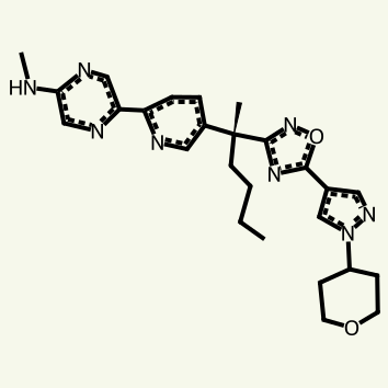 CCCC[C@](C)(c1ccc(-c2cnc(NC)cn2)nc1)c1noc(-c2cnn(C3CCOCC3)c2)n1